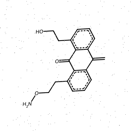 C=C1c2cccc(CCO)c2C(=O)c2c(CCON)cccc21